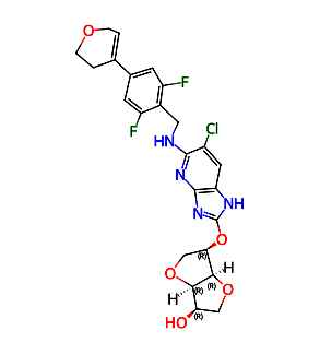 O[C@@H]1CO[C@H]2[C@@H]1OC[C@H]2Oc1nc2nc(NCc3c(F)cc(C4=CCOCC4)cc3F)c(Cl)cc2[nH]1